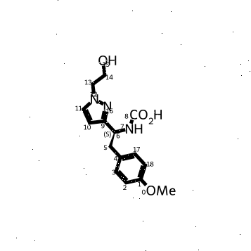 COc1ccc(C[C@H](NC(=O)O)c2ccn(CCO)n2)cc1